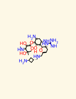 CN[C@@H]1[C@@H](O)[C@@H](O[C@@H]2[C@@H](O)[C@H](C3OC(CNC[C@H]4C[C@H](N)C4)=CC[C@H]3NC(=N)N)[C@@H](N)C[C@H]2N)OC[C@]1(C)O